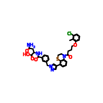 Cc1c(Cl)cccc1OCCCC(=O)N1CCSc2c(-c3cnn(Cc4cccc(C(=O)NC(CC(N)=O)C(=O)O)c4)c3)cccc21